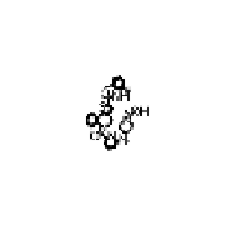 Cc1cccc(F)c1NC(=O)c1cc2c(s1)-c1ccccc1N(C(=O)c1cccc(N(C)C3CCN(SO)CC3)n1)CC2